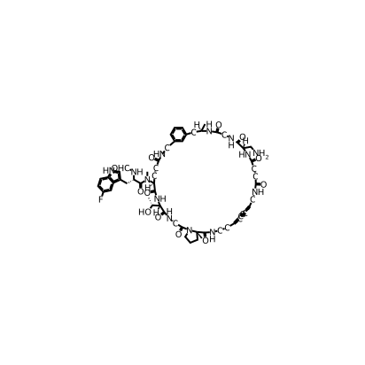 C[C@@H]1Cc2cccc(c2)CNC(=O)CC[C@H](N(C)C(=O)[C@H](Cc2c[nH]c3ccc(F)cc23)NC=O)C(=O)N[C@@H]([C@@H](C)O)C(=O)NCC(=O)N2CCC[C@@]2(C)C(=O)NCCc2ccc(cc2)CNC(=O)CCC(=O)N[C@@H](CN)C(=O)NCC(=O)N1